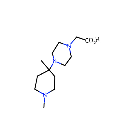 CN1CCC(C)(N2CCN(CC(=O)O)CC2)CC1